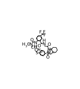 CSc1ccc(S(=O)(=O)C[C@@H]2CCCC[C@@H]2NC(=O)CNC(=O)c2cc(C(F)(F)F)ccc2NC(=O)N(C)C)cc1